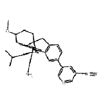 [C-]#[N+]c1cncc(-c2ccc3c(c2)C2(N=C(N)N(C(C)C)C2=O)C2(CCC(OC)CC2)C3)c1